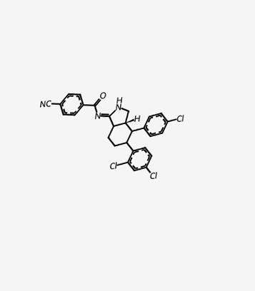 N#Cc1ccc(C(=O)/N=C2\NC[C@H]3C2CCC(c2ccc(Cl)cc2Cl)C3c2ccc(Cl)cc2)cc1